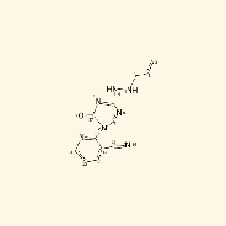 C=CCNNc1ncn(-c2ncccc2C#N)c(=O)n1